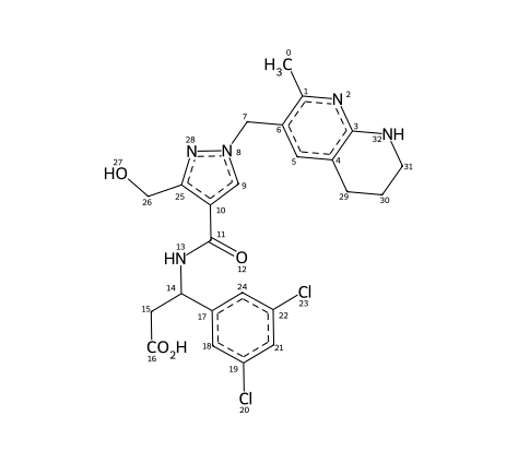 Cc1nc2c(cc1Cn1cc(C(=O)NC(CC(=O)O)c3cc(Cl)cc(Cl)c3)c(CO)n1)CCCN2